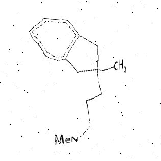 CNCCCC1(C)Cc2ccccc2C1